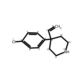 C=CC1(c2ccc(Cl)cc2)CCNCC1